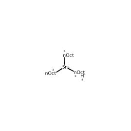 CCCCCCC[CH2][Sn]([CH2]CCCCCCC)[CH2]CCCCCCC.[H-]